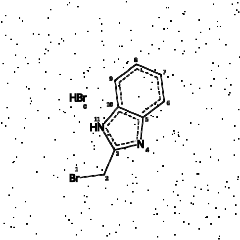 Br.BrCc1nc2ccccc2[nH]1